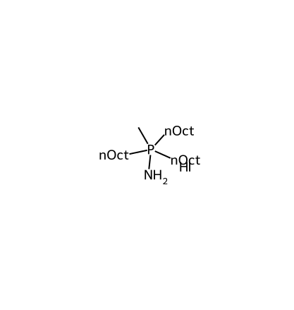 CCCCCCCCP(C)(N)(CCCCCCCC)CCCCCCCC.I